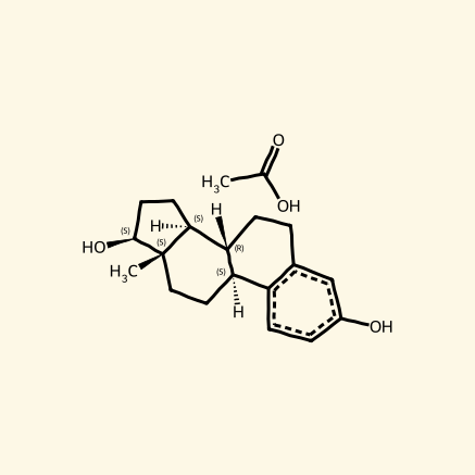 CC(=O)O.C[C@]12CC[C@@H]3c4ccc(O)cc4CC[C@H]3[C@@H]1CC[C@@H]2O